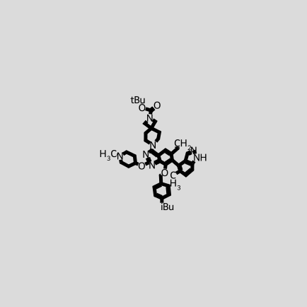 C=Cc1cc2c(N3CCC4(CC3)CN(C(=O)OC(C)(C)C)C4)nc(OC3CCN(C)CC3)nc2c(OCc2ccc(C(C)CC)cc2)c1-c1c(C)ccc2[nH]ncc12